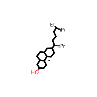 CCC[C@H](CCCC(CC)C(C)C)C1CCC2C(CCC3CC(O)CC[C@@]32C)C1